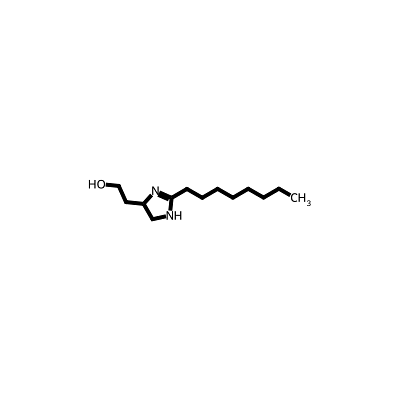 CCCCCCCCC1=NC(CCO)CN1